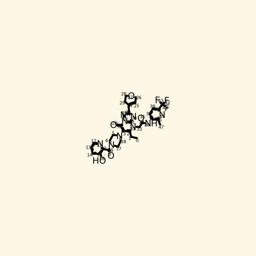 CCc1c(N2CCN(C(=O)c3ncccc3O)CC2)c(=O)n2nc(C3=CCOCC3)nc2n1CC(=O)Nc1ccc(C(F)(F)F)nc1C